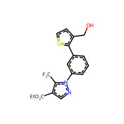 CCOC(=O)c1cnn(-c2cccc(-c3sccc3CO)c2)c1C(F)(F)F